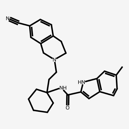 Cc1ccc2cc(C(=O)NC3(CCN4CCc5ccc(C#N)cc5C4)CCCCC3)[nH]c2c1